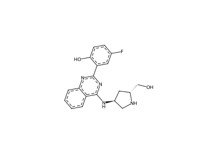 OC[C@H]1C[C@H](Nc2nc(-c3cc(F)ccc3O)nc3ccccc23)CN1